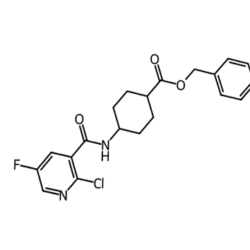 O=C(NC1CCC(C(=O)OCc2ccccc2)CC1)c1cc(F)cnc1Cl